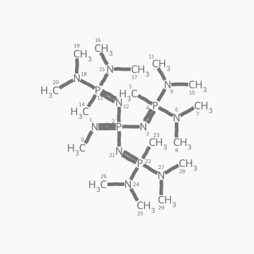 CN=P(N=P(C)(N(C)C)N(C)C)(N=P(C)(N(C)C)N(C)C)N=P(C)(N(C)C)N(C)C